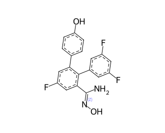 N/C(=N\O)c1cc(F)cc(-c2ccc(O)cc2)c1-c1cc(F)cc(F)c1